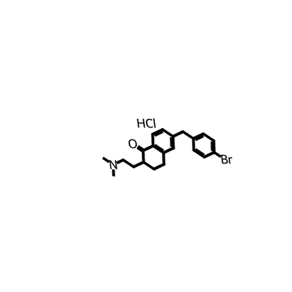 CN(C)CCC1CCc2cc(Cc3ccc(Br)cc3)ccc2C1=O.Cl